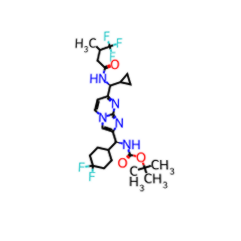 CC(CC(=O)N[C@H](c1ccn2cc([C@@H](NC(=O)OC(C)(C)C)C3CCC(F)(F)CC3)nc2n1)C1CC1)C(F)(F)F